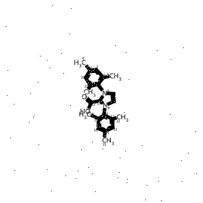 Cc1cc(C)c(N2C=CN(c3c(C)cc(C)cc3C)C2C(=O)O)c(C)c1